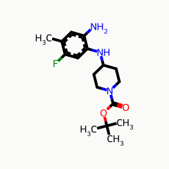 Cc1cc(N)c(NC2CCN(C(=O)OC(C)(C)C)CC2)cc1F